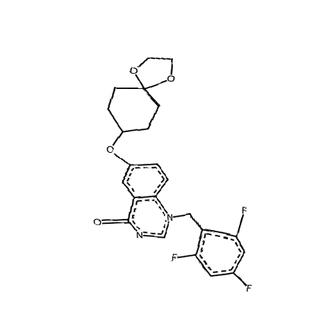 O=c1ncn(Cc2c(F)cc(F)cc2F)c2ccc(OC3CCC4(CC3)OCCO4)cc12